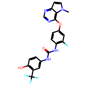 Cn1ccc2ncnc(Oc3ccc(NC(=O)Nc4ccc(O)c(C(F)(F)F)c4)c(F)c3)c21